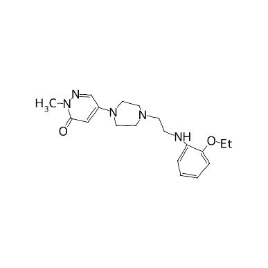 CCOc1ccccc1NCCN1CCN(c2cnn(C)c(=O)c2)CC1